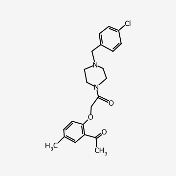 CC(=O)c1cc(C)ccc1OCC(=O)N1CCN(Cc2ccc(Cl)cc2)CC1